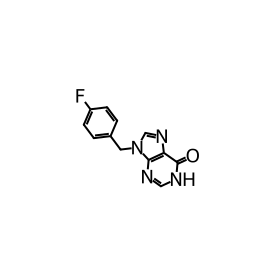 O=c1[nH]cnc2c1ncn2Cc1ccc(F)cc1